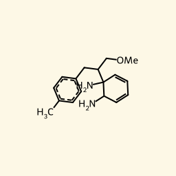 COCC(Cc1ccc(C)cc1)C1(N)C=CC=CC1N